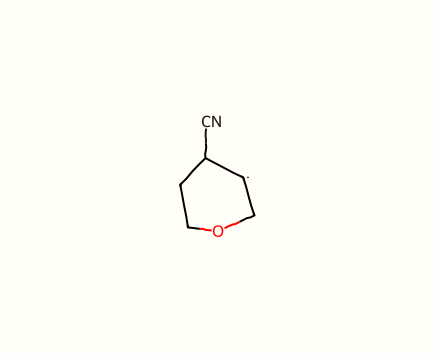 N#CC1[CH]COCC1